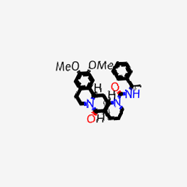 COc1cc2c(cc1OC)[C@H]1C[C@@H]3[C@@H](CCCN3C(=O)N[C@H](C)c3ccccc3)C(=O)N1CC2